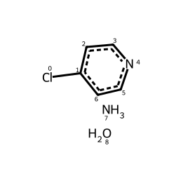 Clc1ccncc1.N.O